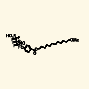 COCCCCCCCCCCCCOC(=O)c1ccc(OS(=O)(=O)C(F)(F)C(F)(F)C(F)(F)S(=O)(=O)O)cc1